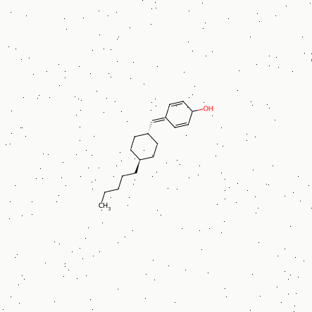 CCCCC[C@H]1CC[C@H](C=C2C=CC(O)C=C2)CC1